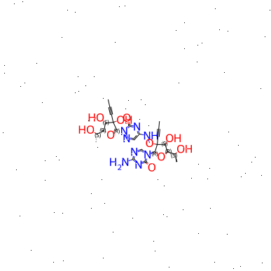 CC#CC1(O)[C@@H](O)[C@@H]([C@H](C)O)O[C@H]1n1ncc(NOC2(C#CC)[C@@H](O)[C@@H]([C@H](C)O)O[C@H]2n2cnc(N)nc2=O)nc1=O